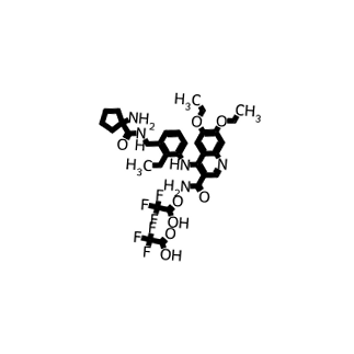 CCOc1cc2ncc(C(N)=O)c(Nc3cccc(CNC(=O)C4(N)CCCC4)c3CC)c2cc1OCC.O=C(O)C(F)(F)F.O=C(O)C(F)(F)F